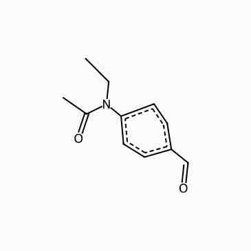 CCN(C(C)=O)c1ccc(C=O)cc1